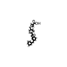 O=C(O)C1CN(Cc2cnc(-c3cc4cc(Cc5ccccc5)ccc4o3)nc2)C1